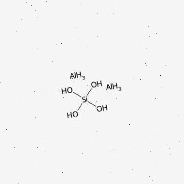 O[Si](O)(O)O.[AlH3].[AlH3]